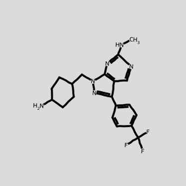 CNc1ncc2c(-c3ccc(C(F)(F)F)cc3)nn(CC3CCC(N)CC3)c2n1